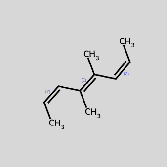 C\C=C/C(C)=C(C)/C=C\C